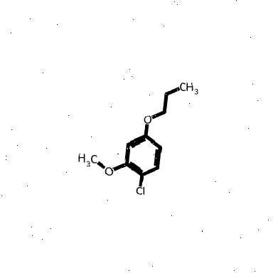 CCCOc1ccc(Cl)c(OC)c1